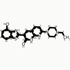 CCN1CCN(c2ccc3cc(-c4nc5c(Cl)cccc5s4)c(=O)oc3n2)CC1